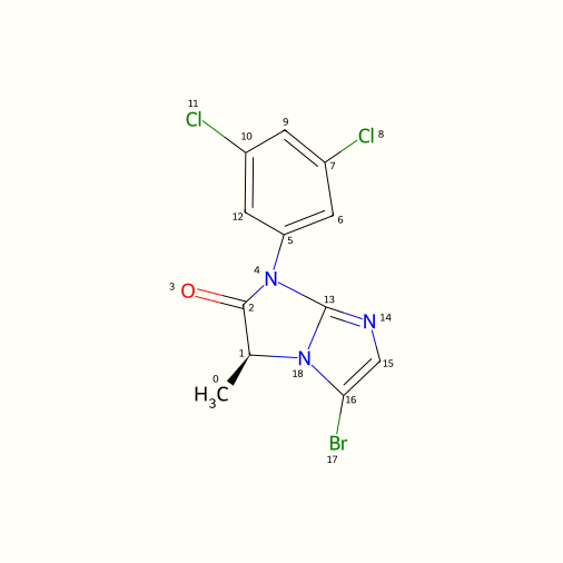 C[C@H]1C(=O)N(c2cc(Cl)cc(Cl)c2)c2ncc(Br)n21